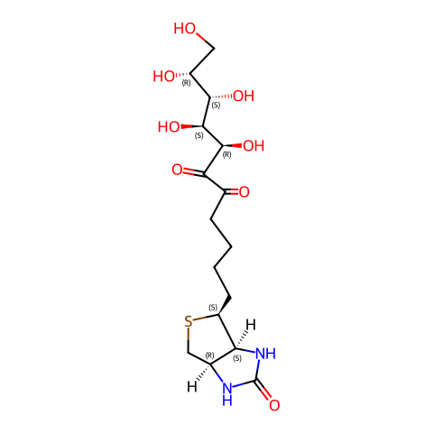 O=C1N[C@H]2[C@H](CS[C@H]2CCCCC(=O)C(=O)[C@H](O)[C@@H](O)[C@@H](O)[C@H](O)CO)N1